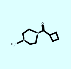 CN1CCN(C(=O)C2C[CH]C2)CC1